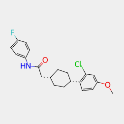 COc1ccc([C@H]2CC[C@@H](CC(=O)Nc3ccc(F)cc3)CC2)c(Cl)c1